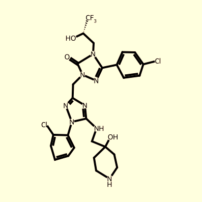 O=c1n(Cc2nc(NCC3(O)CCNCC3)n(-c3ccccc3Cl)n2)nc(-c2ccc(Cl)cc2)n1C[C@H](O)C(F)(F)F